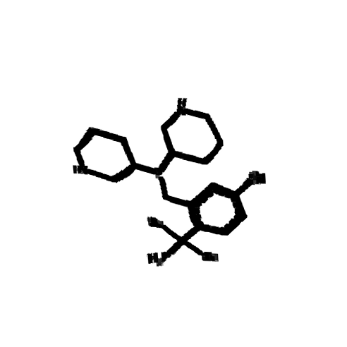 CC(C)(C)c1ccc(C(P)(C(C)(C)C)C(C)(C)C)c(CP(C2CCCNC2)C2CCCNC2)c1